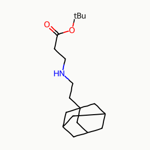 CC(C)(C)OC(=O)CCNCCC12CC3CC(CC(C3)C1)C2